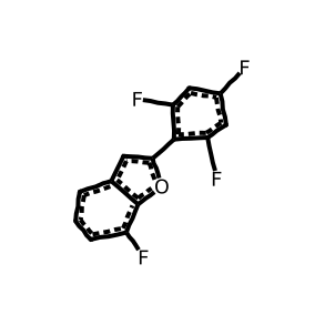 Fc1cc(F)c(-c2cc3cccc(F)c3o2)c(F)c1